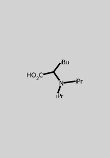 CCC(C)C(C(=O)O)N(C(C)C)C(C)C